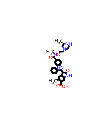 Cc1cc2c(cc1C(=O)O)NC(=O)/C2=C(\Nc1ccc(C(=O)N(C)OCCN2CCN[C@H](C)C2)cc1)c1ccccc1